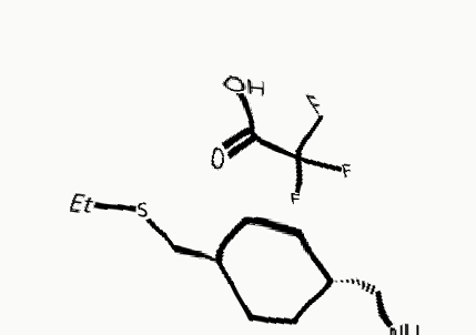 CCSC[C@H]1CC[C@H](CN)CC1.O=C(O)C(F)(F)F